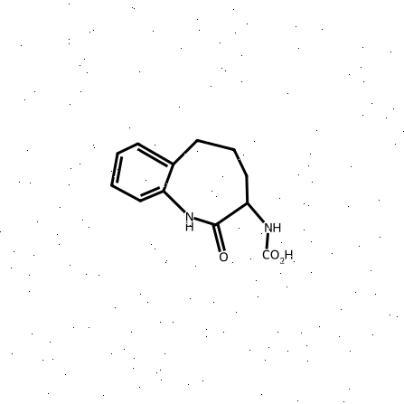 O=C(O)NC1CCCc2ccccc2NC1=O